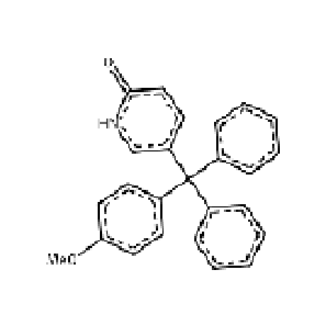 COc1ccc(C(c2ccccc2)(c2ccccc2)c2ccc(=O)[nH]c2)cc1